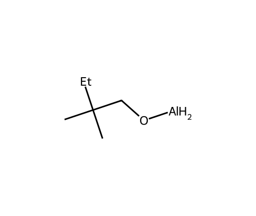 CCC(C)(C)C[O][AlH2]